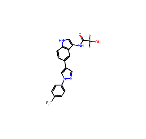 CC(C)(O)C(=O)Nc1c[nH]c2ccc(-c3cnn(-c4ccc(C(F)(F)F)cc4)c3)cc12